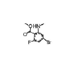 CNc1cc(Br)cc(F)c1C(=O)OC